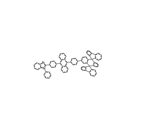 c1ccc(-n2c(-c3ccc(-c4c5ccccc5c(-c5ccc(-c6ccc7c(c6)C6(c8ccccc8-c8ccccc86)c6ccccc6C76c7ccccc7-c7ccccc76)cc5)c5ccccc45)cc3)nc3ccccc32)cc1